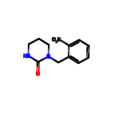 O=C1NCCCN1Cc1ccccc1[N+](=O)[O-]